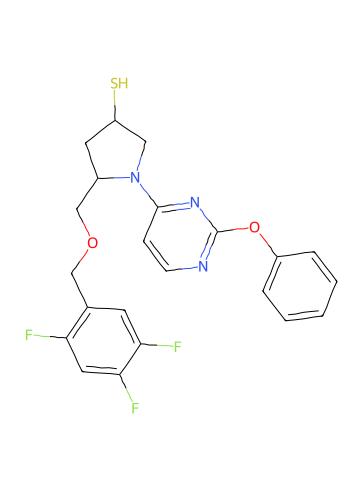 Fc1cc(F)c(COCC2CC(S)CN2c2ccnc(Oc3ccccc3)n2)cc1F